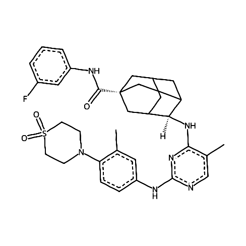 Cc1cc(Nc2ncc(C)c(N[C@H]3C4CC5CC3C[C@](C(=O)Nc3cccc(F)c3)(C5)C4)n2)ccc1N1CCS(=O)(=O)CC1